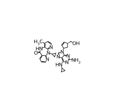 Cc1ccnc2c1NC(=O)c1cccnc1N2C1CC1.Nc1nc(NC2CC2)c2ncn([C@H]3C=C[C@@H](CO)C3)c2n1